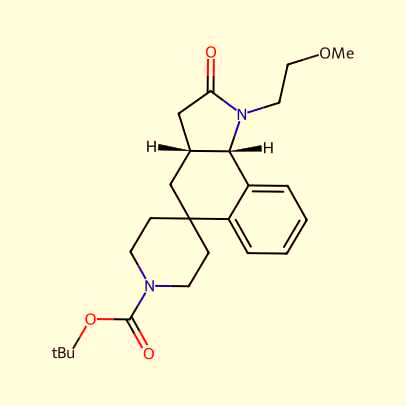 COCCN1C(=O)C[C@H]2CC3(CCN(C(=O)OC(C)(C)C)CC3)c3ccccc3[C@H]21